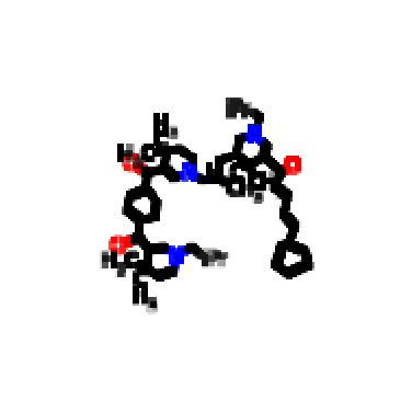 CC(C)CN1C=CC(C)(C)C(C(=O)c2ccc(C(=O)C3=CN(CC(C)CC4CN(CC(C)C)C=C(C(=O)/C=C/C=C/c5ccccc5)C4(C)C)CCC3(C)C)cc2)=C1